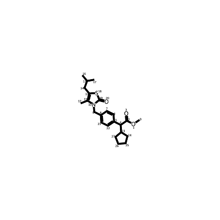 COC(=O)C(c1ccc(Cn2c(C)c(CC(C)C)sc2=O)cc1)C1CCCC1